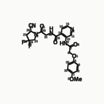 COc1ccc(OCC(=O)Nc2cnccc2C(=O)NCC(=O)N2CC(F)(F)CC2C#N)cc1